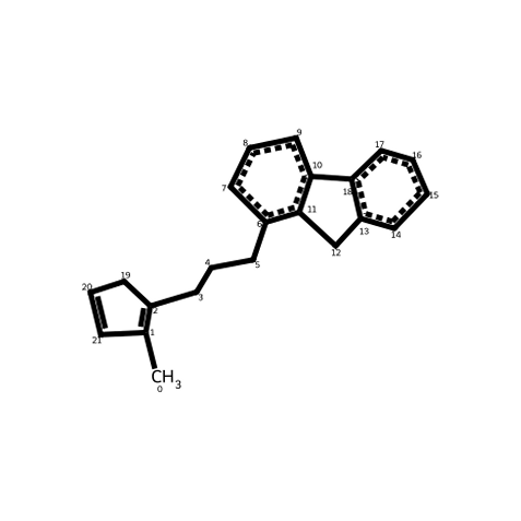 CC1=C(CCCc2cccc3c2Cc2ccccc2-3)CC=C1